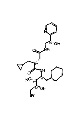 CC(C)C[C@H](O)[C@H](O)[C@H](CC1CCCCC1)NC(=O)[C@@H](CC(=O)NC[C@@H](O)c1ccccn1)CC1CC1